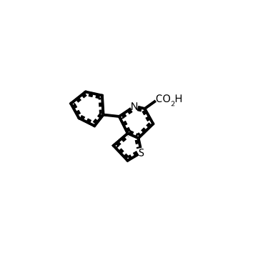 O=C(O)c1cc2sccc2c(-c2ccccc2)n1